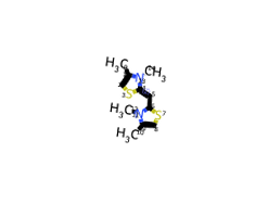 CC1=CS/C(=C\C2SC=C(C)N2C)N1C